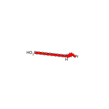 CC(C)CCC[C@@H](C)[C@H]1CC[C@H]2[C@@H]3CC=C4C[C@@H](OC(=O)NCCOCCOCCOCCOCCOCCOCCOCCOCCOCCOCCOCCOCCOCCOCCOCCOCCC(=O)O)CC[C@]4(C)[C@H]3CC[C@]12C